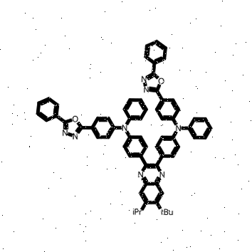 CC(C)c1cc2nc(-c3ccc(N(c4ccccc4)c4ccc(-c5nnc(-c6ccccc6)o5)cc4)cc3)c(-c3ccc(N(c4ccccc4)c4ccc(-c5nnc(-c6ccccc6)o5)cc4)cc3)nc2cc1C(C)(C)C